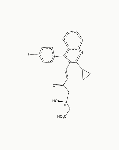 O=C(O)C[C@@H](O)CC(=O)C=Cc1c(C2CC2)nc2ccccc2c1-c1ccc(F)cc1